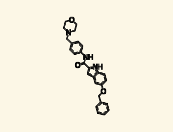 O=C(Nc1ccc(CN2CCOCC2)cc1)c1cc2cc(OCc3ccccc3)ccc2[nH]1